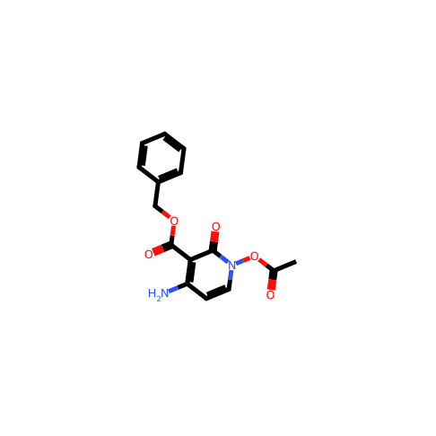 CC(=O)On1ccc(N)c(C(=O)OCc2ccccc2)c1=O